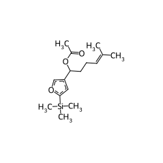 CC(=O)OC(CCC=C(C)C)c1coc([Si](C)(C)C)c1